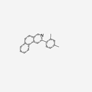 Cc1ccc(-c2cc3c(ccc4ccccc43)cn2)c(C)c1